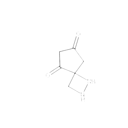 O=C1CC(=O)C2(CNN2)C1